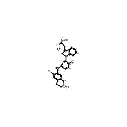 COC(=O)C[C@]1(C)CN(c2nc(Nc3cc4c(cc3F)CCN(C)C4)ncc2Cl)c2ccccc21